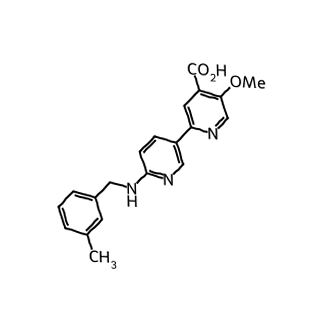 COc1cnc(-c2ccc(NCc3cccc(C)c3)nc2)cc1C(=O)O